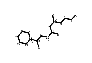 CCCCN(C)CC(C)OCC(C)N1CCCCC1